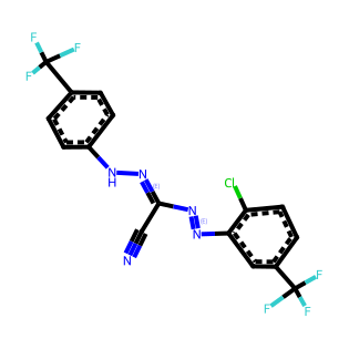 N#CC(/N=N/c1cc(C(F)(F)F)ccc1Cl)=N\Nc1ccc(C(F)(F)F)cc1